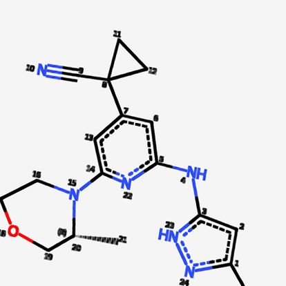 Cc1cc(Nc2cc(C3(C#N)CC3)cc(N3CCOC[C@H]3C)n2)[nH]n1